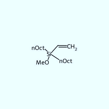 C=C[Si](CCCCCCCC)(CCCCCCCC)OC